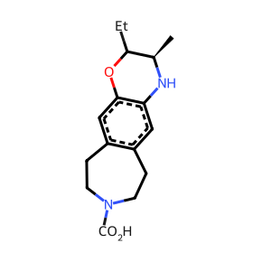 CCC1Oc2cc3c(cc2N[C@@H]1C)CCN(C(=O)O)CC3